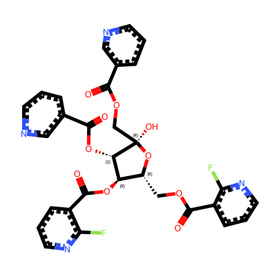 O=C(OC[C@@]1(O)O[C@H](COC(=O)c2cccnc2F)[C@@H](OC(=O)c2cccnc2F)[C@@H]1OC(=O)c1cccnc1)c1cccnc1